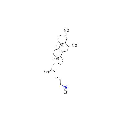 CCNCCCCC(CC1CCC2C3CC(N=O)C4C[C@@H](N=O)CC[C@]4(C)C3CC[C@]12C)N=O